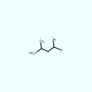 CCC(CC(C)C(=O)O)C(C)C